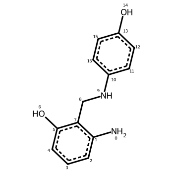 Nc1cccc(O)c1CNc1ccc(O)cc1